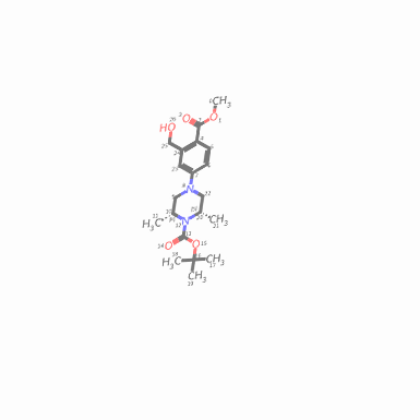 COC(=O)c1ccc(N2C[C@@H](C)N(C(=O)OC(C)(C)C)[C@@H](C)C2)cc1CO